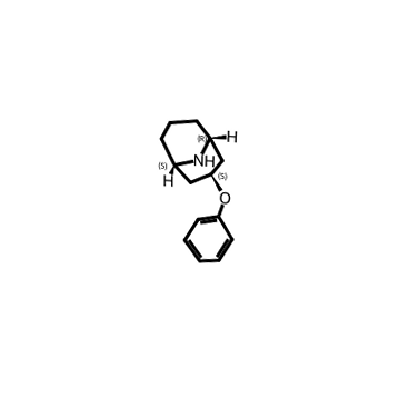 c1ccc(O[C@@H]2C[C@H]3CCC[C@@H](C2)N3)cc1